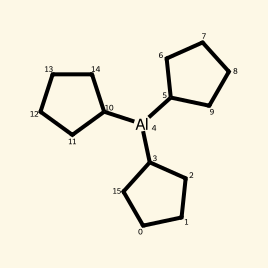 C1CC[CH]([Al]([CH]2CCCC2)[CH]2CCCC2)C1